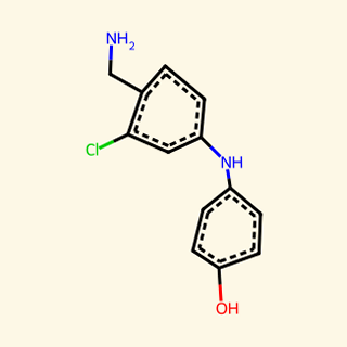 NCc1ccc(Nc2ccc(O)cc2)cc1Cl